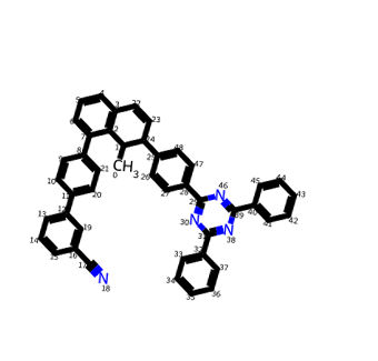 CC1c2c(cccc2-c2ccc(-c3cccc(C#N)c3)cc2)C=CC1c1ccc(-c2nc(-c3ccccc3)nc(-c3ccccc3)n2)cc1